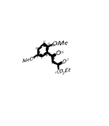 CCOC(=O)C(=O)CC(=O)c1cc(OC)ccc1OC